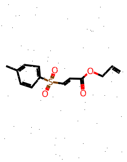 C=CCOC(=O)/C=C/S(=O)(=O)c1ccc(C)cc1